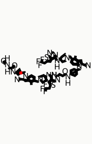 Cc1c(CN2CCC(Nc3ncnc4sc(CC(F)(F)F)cc34)CC2)ccc2c1cc(C#N)n2CC12CCC(NC(=O)CCc3nc(NC4CCN(Cc5ccc6c(cc(C#N)n6CC67CC(NC(=O)CNC=O)(C6)C7)c5C)CC4)c4cc(CC(F)(F)F)sc4n3)(CC1)CC2